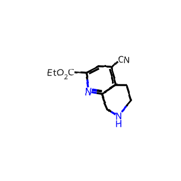 CCOC(=O)c1cc(C#N)c2c(n1)CNCC2